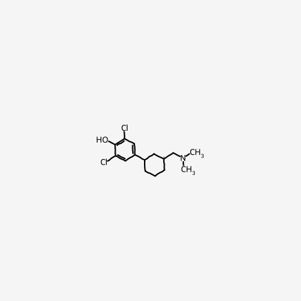 CN(C)C[C]1CCCC(c2cc(Cl)c(O)c(Cl)c2)C1